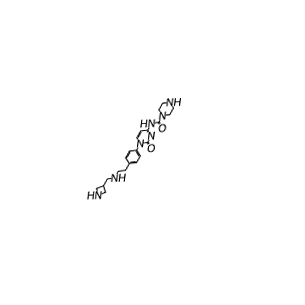 O=C(Nc1ccn(-c2ccc(CCNCC3CNC3)cc2)c(=O)n1)N1CCNCC1